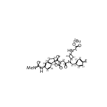 CCCCOC(=O)CNC1CC(N(Cc2ccc(F)cc2)C(=O)CN2C(=O)OC3(CCc4cc(NC(=O)NC)ccc43)C2=O)C1